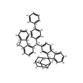 c1ccc(-c2ccc(N(c3ccc4c(c3)C3(c5ccccc5-4)C4CC5CC(C4)CC3C5)c3cccc4[se]c5ccccc5c34)cc2)cc1